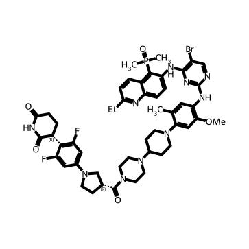 CCc1ccc2c(P(C)(C)=O)c(Nc3nc(Nc4cc(C)c(N5CCC(N6CCN(C(=O)[C@@H]7CCN(c8cc(F)c([C@H]9CCC(=O)NC9=O)c(F)c8)C7)CC6)CC5)cc4OC)ncc3Br)ccc2n1